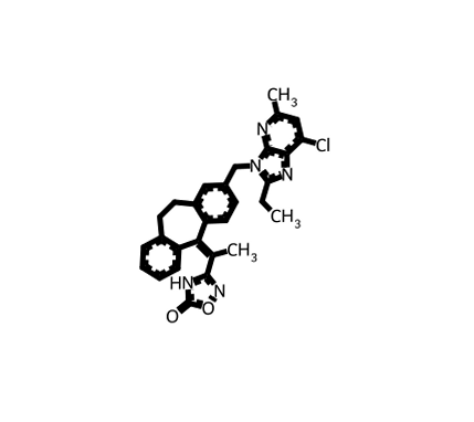 CCc1nc2c(Cl)cc(C)nc2n1Cc1ccc2c(c1)CCc1ccccc1/C2=C(/C)c1noc(=O)[nH]1